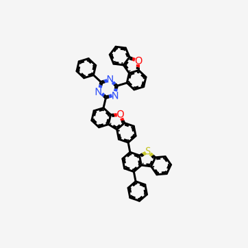 c1ccc(-c2nc(-c3cccc4c3oc3ccc(-c5ccc(-c6ccccc6)c6c5sc5ccccc56)cc34)nc(-c3cccc4oc5ccccc5c34)n2)cc1